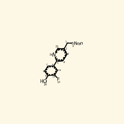 CCCCCCCCCCc1ccc(-c2ccc(O)c(F)c2)nc1